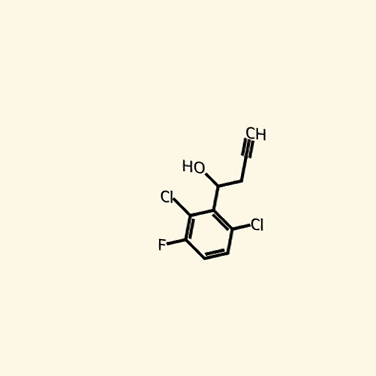 C#CCC(O)c1c(Cl)ccc(F)c1Cl